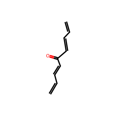 C=CC=CC(=O)C=CC=C